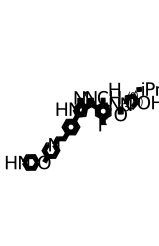 Cc1c(NC(=O)N2C[C@H](CC(C)C)[C@@H](O)C2)cc(F)cc1-c1ncnc2[nH]c(-c3ccc(CCN4CCC(OC5CCNCC5)CC4)cc3)cc12